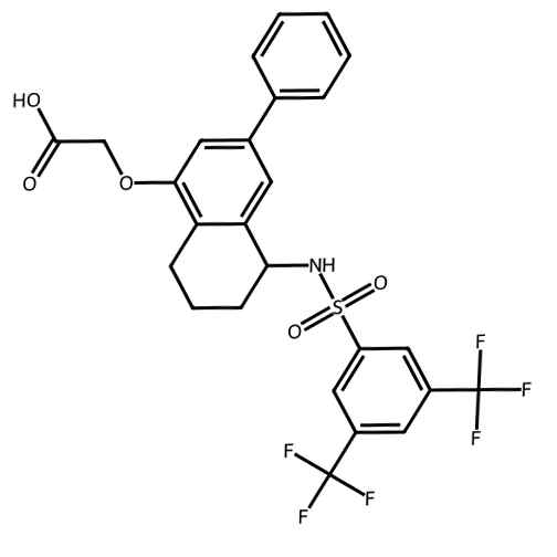 O=C(O)COc1cc(-c2ccccc2)cc2c1CCCC2NS(=O)(=O)c1cc(C(F)(F)F)cc(C(F)(F)F)c1